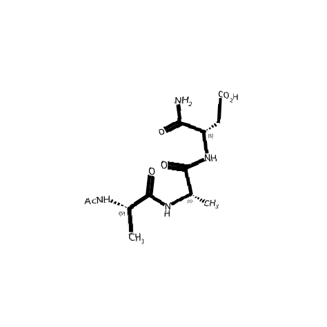 CC(=O)N[C@@H](C)C(=O)N[C@@H](C)C(=O)N[C@@H](CC(=O)O)C(N)=O